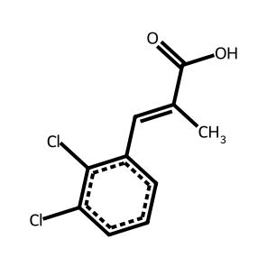 C/C(=C\c1cccc(Cl)c1Cl)C(=O)O